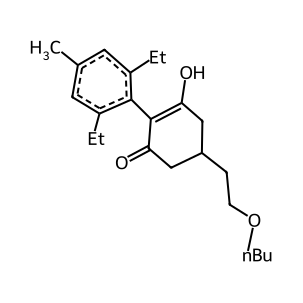 CCCCOCCC1CC(=O)C(c2c(CC)cc(C)cc2CC)=C(O)C1